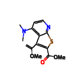 C=C(OC)c1c(C(=O)OC)sc2nccc(N(C)C)c12